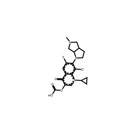 CN1CC2CCN(c3c(F)cc4c(=O)c(OC(=O)O)cn(C5CC5)c4c3Cl)C2C1